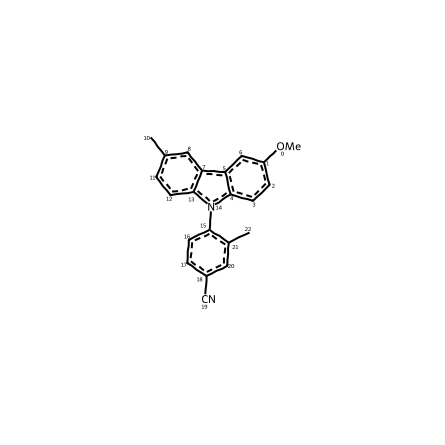 COc1ccc2c(c1)c1cc(C)ccc1n2-c1ccc(C#N)cc1C